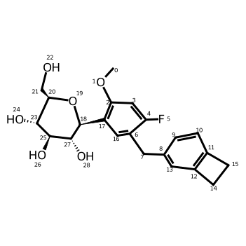 COc1cc(F)c(Cc2ccc3c(c2)CC3)cc1[C@@H]1O[C@H](CO)[C@@H](O)[C@H](O)[C@H]1O